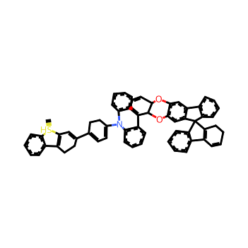 C#[SH]1C2=C(CCC(C3=CC=C(N(c4ccccc4)c4ccccc4C4=CC=CC5Oc6cc7c(cc6OC45)C4(C5=C(C=CCC5)c5ccccc54)c4ccccc4-7)CC3)=C2)c2ccccc21